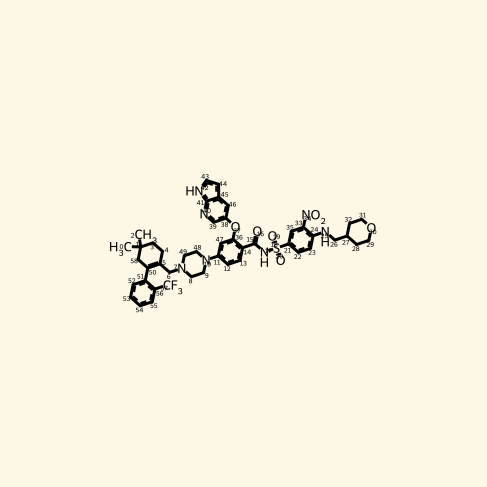 CC1(C)CCC(CN2CCN(c3ccc(C(=O)NS(=O)(=O)c4ccc(NCC5CCOCC5)c([N+](=O)[O-])c4)c(Oc4cnc5[nH]ccc5c4)c3)CC2)=C(c2ccccc2C(F)(F)F)C1